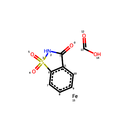 O=C1NS(=O)(=O)c2ccccc21.O=CO.[Fe]